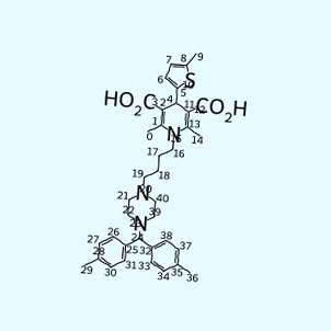 CC1=C(C(=O)O)C(c2ccc(C)s2)C(C(=O)O)=C(C)N1CCCCN1CCN(C(c2ccc(C)cc2)c2ccc(C)cc2)CC1